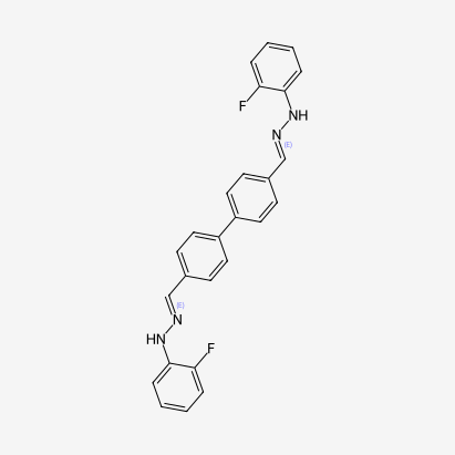 Fc1ccccc1N/N=C/c1ccc(-c2ccc(/C=N/Nc3ccccc3F)cc2)cc1